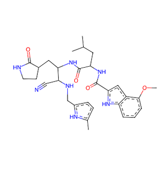 COc1cccc2[nH]c(C(=O)NC(CC(C)C)C(=O)NC(CC3CCNC3=O)C(C#N)NCc3ccc(C)[nH]3)cc12